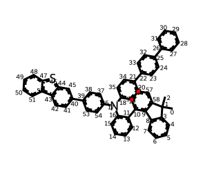 CC1(C)c2ccccc2-c2c(-c3ccccc3N(c3ccc(-c4ccc(-c5ccccc5)cc4)cc3)c3ccc(-c4ccc5c(c4)sc4ccccc45)cc3)cccc21